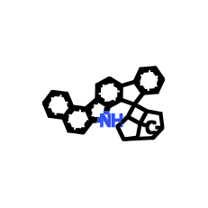 c1ccc2c(c1)-c1ccc3c([nH]c4ccc5ccccc5c43)c1C21C2CC3CC4CC1C2(C3)C4